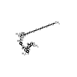 CCCOCCOCCOCCOCCOCCOCCOCCOCCOCCC(=O)NC(C(=O)NCC(=O)Nc1ccc(COC(=O)N[C@H]2CCc3c(C)c(F)cc4nc5c(c2c34)Cn2c-5cc3c(c2=O)COC(=O)[C@@H]3CC)cc1)C(C)C